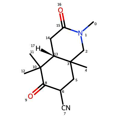 CN1CC2(C)CC(C#N)C(=O)C(C)(C)[C@@H]2CC1=O